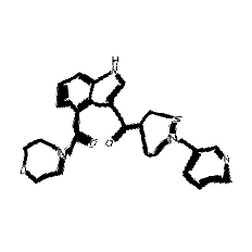 O=C(c1c[nH]c2cccc(C(=O)N3CCOCC3)c12)C1CSN(c2cccnc2)C1